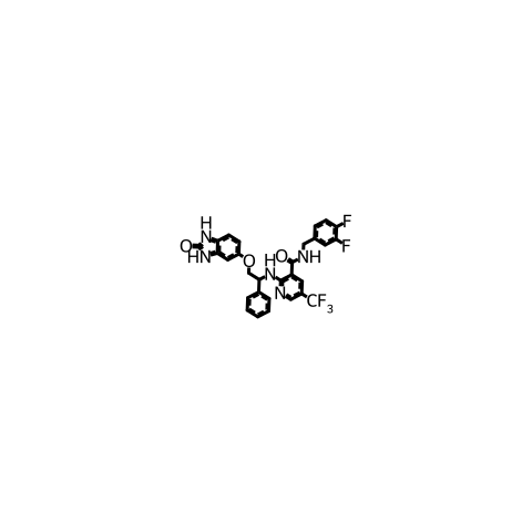 O=C(NCc1ccc(F)c(F)c1)c1cc(C(F)(F)F)cnc1NC(COc1ccc2[nH]c(=O)[nH]c2c1)c1ccccc1